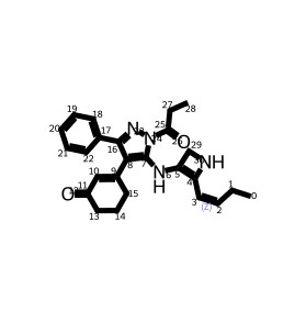 CC/C=C\C1=C(Nc2c(C3=CC(=O)CCC3)c(-c3ccccc3)nn2C(=O)CC)CN1